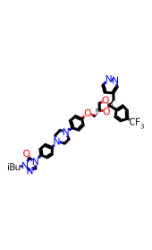 CCC(C)n1ncn(-c2ccc(N3CCN(c4ccc(OC[C@@H]5CO[C@](Cc6ccnnc6)(c6ccc(C(F)(F)F)cc6)O5)cc4)CC3)cc2)c1=O